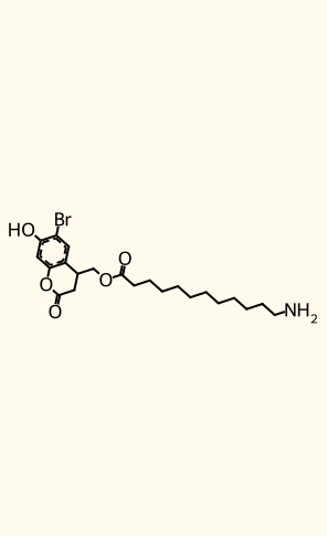 NCCCCCCCCCCCC(=O)OCC1CC(=O)Oc2cc(O)c(Br)cc21